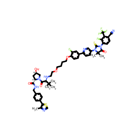 Cc1ncsc1-c1ccc(CNC(=O)[C@@H]2C[C@@H](O)CN2C(=O)[C@@H](NCCOCCCCOc2ccc(-c3ccc(N4C(=S)N(c5ccc(C#N)c(C(F)(F)F)c5F)C(=O)C4(C)C)cn3)cc2F)C(C)(C)C)cc1